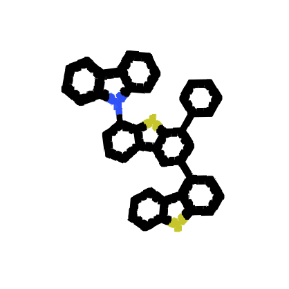 c1ccc(-c2cc(-c3cccc4sc5ccccc5c34)cc3c2sc2c(-n4c5ccccc5c5ccccc54)cccc23)cc1